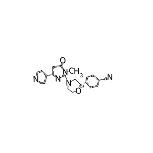 Cn1c(N2CCO[C@@H](c3ccc(C#N)cc3)C2)nc(-c2ccncc2)cc1=O